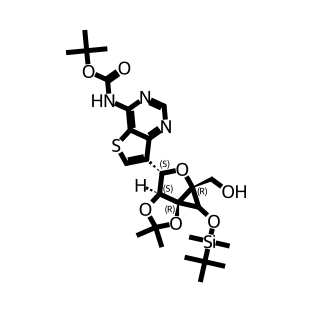 CC(C)(C)OC(=O)Nc1ncnc2c([C@@H]3O[C@]4(CO)C(O[Si](C)(C)C(C)(C)C)[C@@]45OC(C)(C)O[C@@H]35)csc12